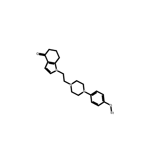 CCOc1ccc(N2CCN(CCn3ccc4c3CCCC4=O)CC2)cc1